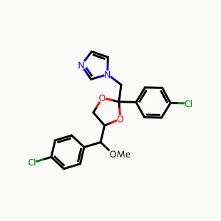 COC(c1ccc(Cl)cc1)C1COC(Cn2ccnc2)(c2ccc(Cl)cc2)O1